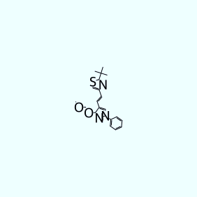 COCOc1nn(-c2ccccc2)cc1/C=C/c1csc(C(C)(C)C)n1